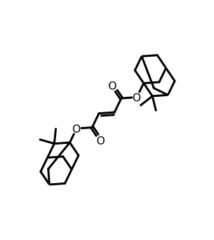 CC1(C)C2CC3CC(C2)CC1(OC(=O)/C=C/C(=O)OC12CC4CC(CC(C4)C1(C)C)C2)C3